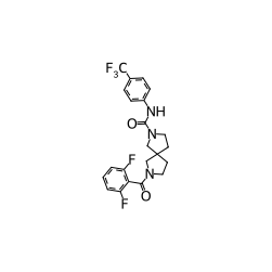 O=C(Nc1ccc(C(F)(F)F)cc1)N1CCC2(CCN(C(=O)c3c(F)cccc3F)C2)C1